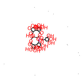 O=C1OC2C(O)COC(=O)c3cc(O)c(O)c(O)c3-c3c(cc(O)c(O)c3O)C(=O)OC2C(C(I)OC(=O)c2cc(O)c(O)c(O)c2)OC(=O)c2cc(O)c(O)c3c2C2C1=CC(=O)C(O)(O3)C2(O)O